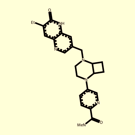 CCc1cc2ncc(CN3CCN(c4ccc(C(=O)NC)nc4)C4CCC43)cc2[nH]c1=O